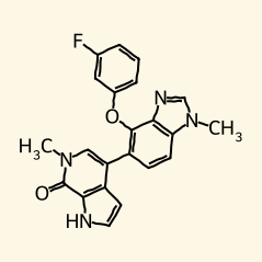 Cn1cc(-c2ccc3c(ncn3C)c2Oc2cccc(F)c2)c2cc[nH]c2c1=O